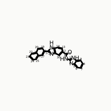 O=C(Nc1nc2ccccc2[nH]1)c1ccc2[nH]c(-c3ccc4ccccc4c3)nc2c1